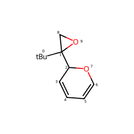 CC(C)(C)C1(C2C=CC=CO2)CO1